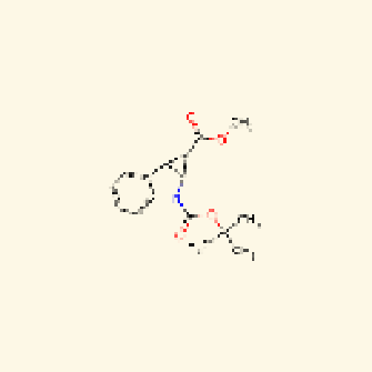 COC(=O)C1C2c3ccccc3N(C(=O)OC(C)(C)C)C12